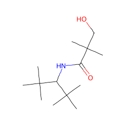 CC(C)(CO)C(=O)NC(C(C)(C)C)C(C)(C)C